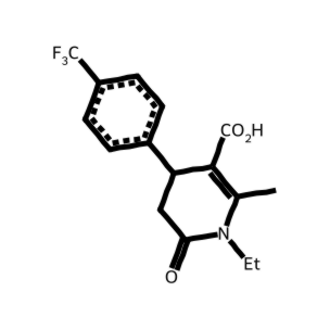 CCN1C(=O)CC(c2ccc(C(F)(F)F)cc2)C(C(=O)O)=C1C